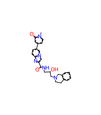 Cn1ccc(-c2ccc3nc(C(=O)NCC(O)CN4CCc5ccccc5C4)cn3c2)cc1=O